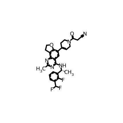 Cc1nc(N[C@H](C)c2cccc(C(F)F)c2F)c2cc(C3=CCN(C(=O)CC#N)CC3)c3c(c2n1)CCO3